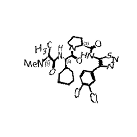 CN[C@@H](C)C(=O)N[C@H](C(=O)N1CCC[C@H]1C(=O)Nc1snnc1-c1ccc(Cl)c(Cl)c1)C1CCCCC1